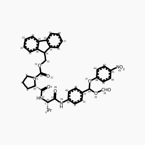 CC(C)[C@H](NC(=O)[C@@H]1CCCN1C(=O)OCC1c2ccccc2-c2ccccc21)C(=O)Nc1ccc(C(OC=O)Oc2ccc([N+](=O)[O-])cc2)cc1